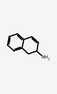 NC1C=Cc2ccccc2C1